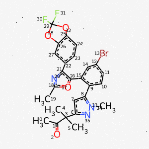 CC(=O)C(C)(C)c1cc(-c2ccc(Br)cc2-c2oc(C)nc2-c2ccc3c(c2)OC(F)(F)O3)n(C)n1